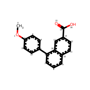 COc1ccc(-c2cccc3ccc(C(=O)O)cc23)cc1